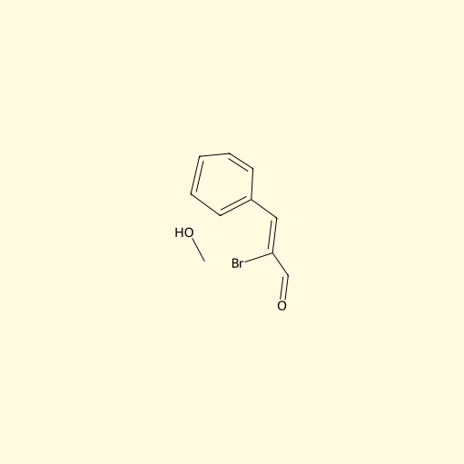 CO.O=CC(Br)=Cc1ccccc1